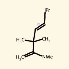 C=C(NC)C(C)(C)/C=C/C(C)C